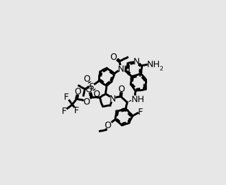 CCOc1ccc(F)c([C@@H](Nc2ccc3c(N)nccc3c2)C(=O)N2CCC(C(=O)OC(=O)C(F)(F)F)C2c2cc(NC(C)=O)ccc2S(=O)(=O)C(C)C)c1